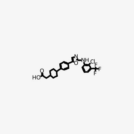 O=C(O)CC1CCC(c2ccc(-c3cnc(Nc4cccc(C(F)(F)F)c4Cl)o3)cc2)CC1